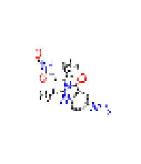 Cc1nc2ccc(N)cc2c(=O)n1C(C)CCC(=O)NC=O